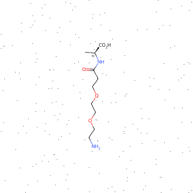 C[C@H](NC(=O)CCOCCOCCN)C(=O)O